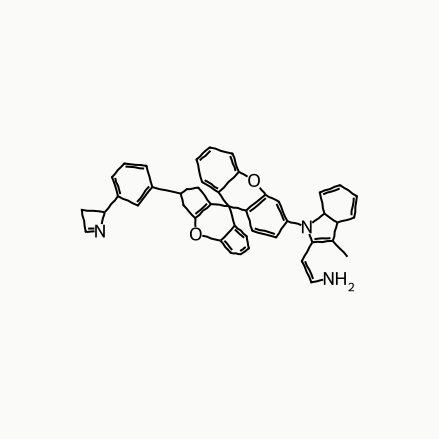 CC1=C(/C=C\N)N(c2ccc3c(c2)Oc2ccccc2C32C3=C(CC(c4cccc(C5CC=N5)c4)CC3)Oc3ccccc32)C2C=CC=CC12